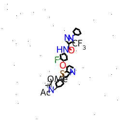 COC[C@H](C)N(Cc1ccc(-c2cc3nccc(Oc4ccc(NC(=O)c5cnn(-c6ccccc6)c5C(F)(F)F)cc4F)c3s2)cc1)C(C)=O